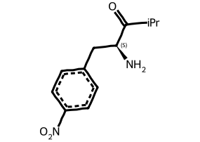 CC(C)C(=O)[C@@H](N)Cc1ccc([N+](=O)[O-])cc1